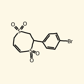 O=S1(=O)CC=CS(=O)(=O)C(c2ccc(Br)cc2)C1